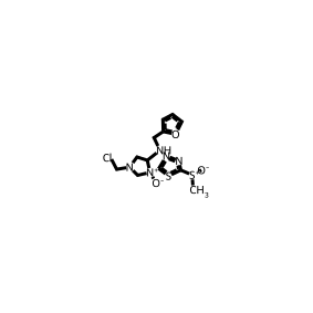 C[S+]([O-])c1nnc([N+]2([O-])CN(CCl)CC2NCc2ccco2)s1